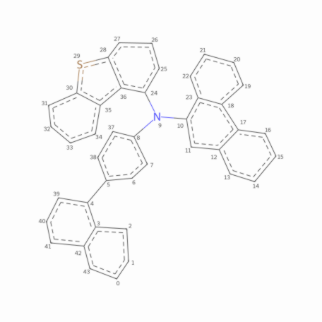 c1ccc2c(-c3ccc(N(c4cc5ccccc5c5ccccc45)c4cccc5sc6ccccc6c45)cc3)cccc2c1